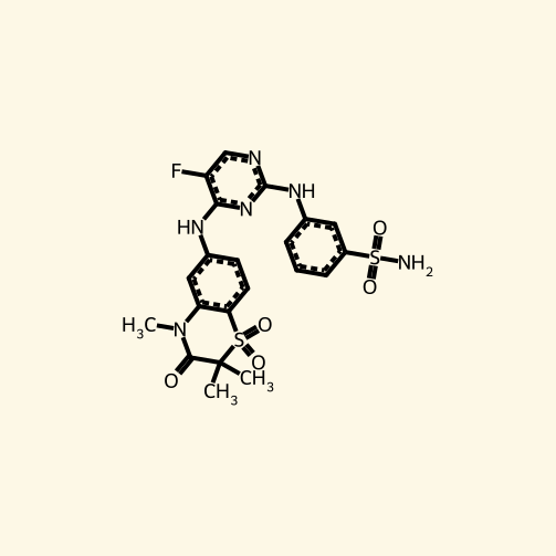 CN1C(=O)C(C)(C)S(=O)(=O)c2ccc(Nc3nc(Nc4cccc(S(N)(=O)=O)c4)ncc3F)cc21